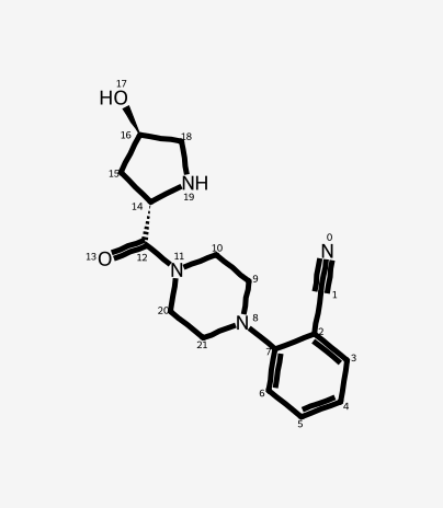 N#Cc1ccccc1N1CCN(C(=O)[C@@H]2C[C@@H](O)CN2)CC1